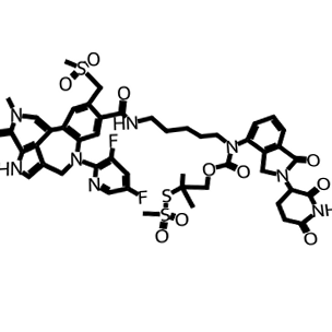 Cn1cc2c3c(c[nH]c3c1=O)CN(c1ncc(F)cc1F)c1cc(C(=O)NCCCCCN(C(=O)OCC(C)(C)SS(C)(=O)=O)c3cccc4c3CN(C3CCC(=O)NC3=O)C4=O)c(CS(C)(=O)=O)cc1-2